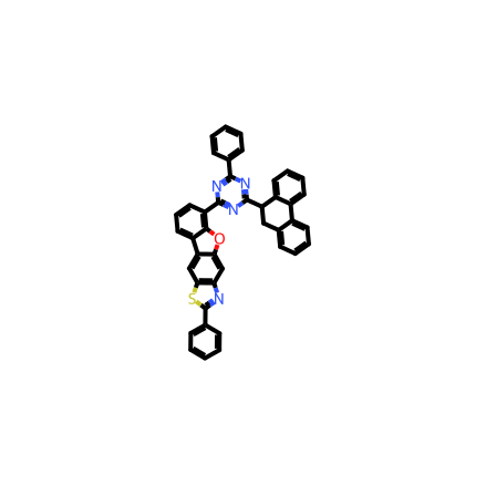 c1ccc(-c2nc(-c3cccc4c3oc3cc5nc(-c6ccccc6)sc5cc34)nc(C3Cc4ccccc4-c4ccccc43)n2)cc1